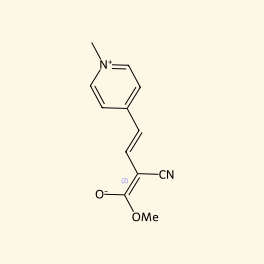 CO/C([O-])=C(\C#N)C=Cc1cc[n+](C)cc1